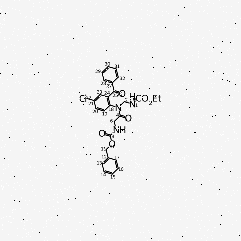 CCOC(=O)NCN(C(=O)CNC(=O)OCc1ccccc1)c1ccc(Cl)cc1C(=O)c1ccccc1